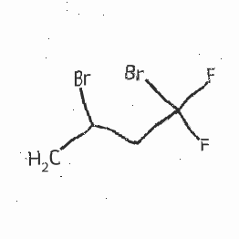 [CH2]C(Br)CC(F)(F)Br